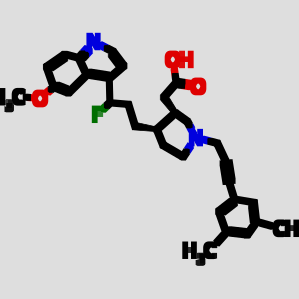 COc1ccc2nccc(C(F)CC[C@@H]3CCN(CC#Cc4cc(C)cc(C)c4)C[C@@H]3CC(=O)O)c2c1